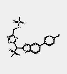 CS(=O)(=O)NCc1nnc(C(c2nc3ccc(-c4ccc(F)nc4)cc3s2)S(C)(=O)=O)o1